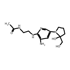 CC(=O)NCCNc1ncc(N2CCCC2(O)CO)cc1N